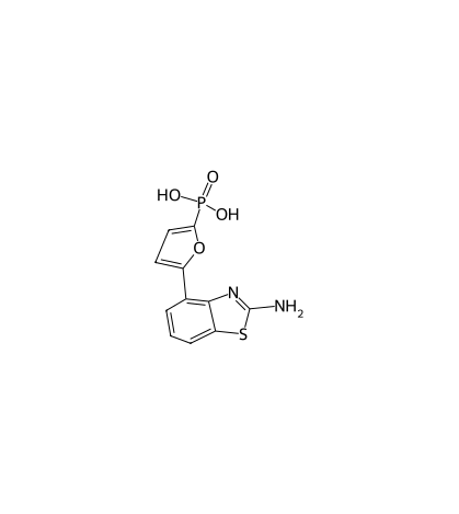 Nc1nc2c(-c3ccc(P(=O)(O)O)o3)cccc2s1